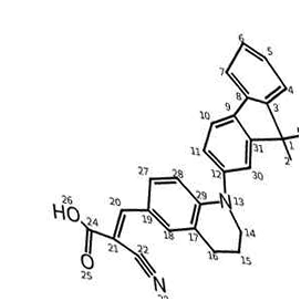 CC1(C)c2ccccc2-c2ccc(N3CCCc4cc(/C=C(\C#N)C(=O)O)ccc43)cc21